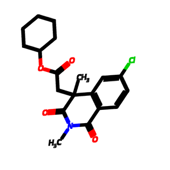 CN1C(=O)c2ccc(Cl)cc2C(C)(CC(=O)OC2CCCCC2)C1=O